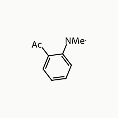 C[N]c1ccccc1C(C)=O